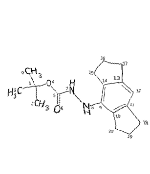 CC(C)(C)OC(=O)NNc1c2c(cc3c1CCC3)CCC2